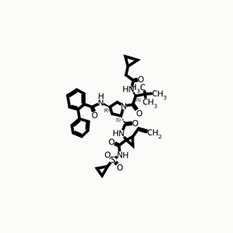 C=CC1CC1(NC(=O)[C@@H]1C[C@@H](NC(=O)c2ccccc2-c2ccccc2)CN1C(=O)[C@@H](NC(=O)CC1CC1)C(C)(C)C)C(=O)NS(=O)(=O)C1CC1